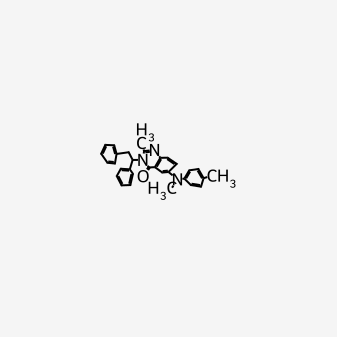 Cc1ccc(N(C)c2ccc3nc(C)n(C(Cc4ccccc4)c4ccccc4)c(=O)c3c2)cc1